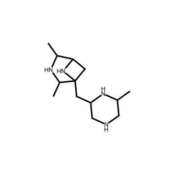 CC1CNCC(CC23CC(N2)C(C)NC3C)N1